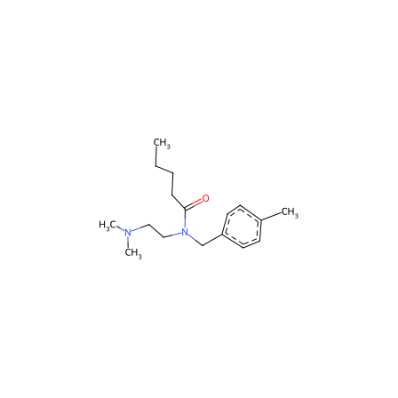 CCCCC(=O)N(CCN(C)C)Cc1ccc(C)cc1